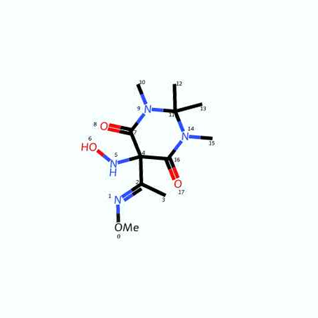 CO/N=C(\C)C1(NO)C(=O)N(C)C(C)(C)N(C)C1=O